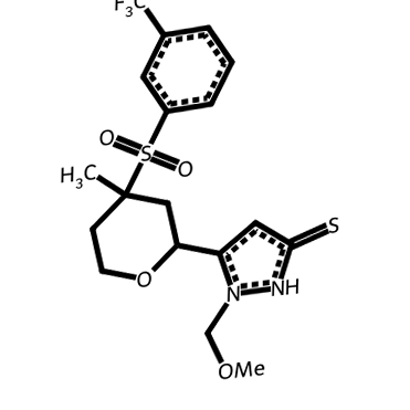 COCn1[nH]c(=S)cc1C1CC(C)(S(=O)(=O)c2cccc(C(F)(F)F)c2)CCO1